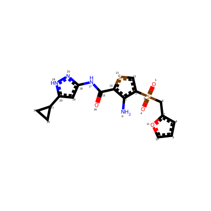 Nc1c(S(=O)(=O)Cc2ccco2)csc1C(=O)Nc1cc(C2CC2)[nH]n1